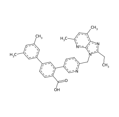 CCc1nc2c(C)cc(C)nc2n1Cc1ccc(-c2cc(-c3cc(C)cc(C)c3)ccc2C(=O)O)cn1